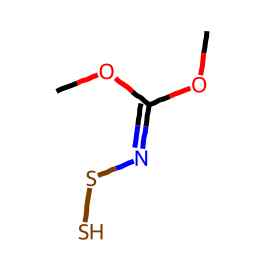 COC(=NSS)OC